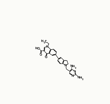 CCn1cc(C(=O)O)c(=O)c2cc(-c3ccc4c(c3)CCN4Cc3cnc(N)nc3N)ccc21